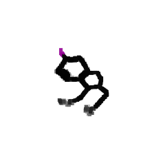 CCC1CCc2cc(I)ccc2C1CC